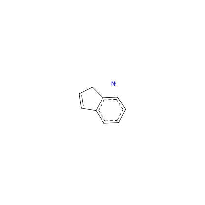 C1=Cc2ccccc2C1.[N]